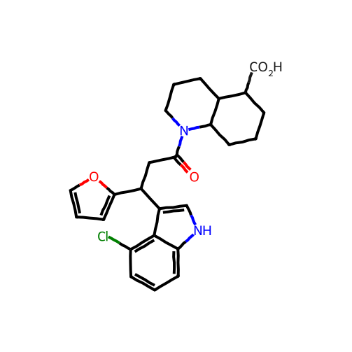 O=C(O)C1CCCC2C1CCCN2C(=O)CC(c1ccco1)c1c[nH]c2cccc(Cl)c12